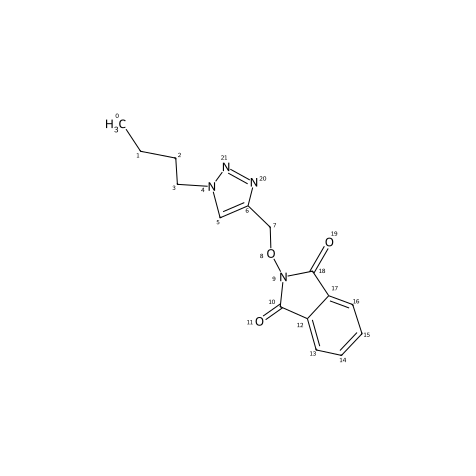 CCCCn1cc(CON2C(=O)c3ccccc3C2=O)nn1